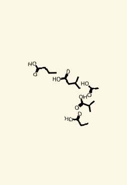 CC(=O)O.CC(C)C(=O)O.CC(C)CC(=O)O.CCC(=O)O.CCCC(=O)O